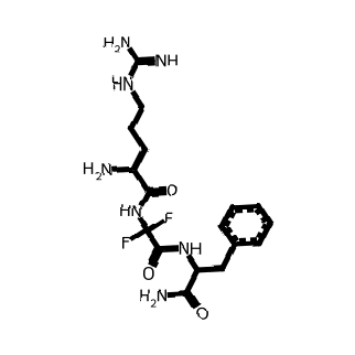 N=C(N)NCCCC(N)C(=O)NC(F)(F)C(=O)NC(Cc1ccccc1)C(N)=O